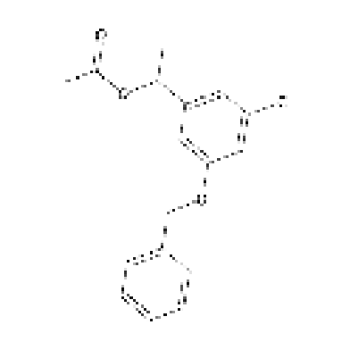 CC(=O)OC(C)c1cc(Cl)cc(OCc2ccccc2)c1